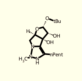 CCCCCC1=C2N(C[C@H]3O[C@H](OC(C)(C)C)[C@H](O)[C@@]23O)N(C)N1